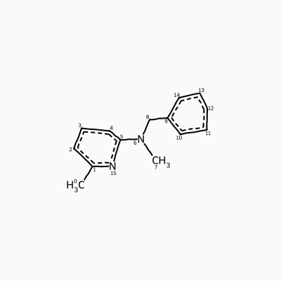 Cc1cccc(N(C)Cc2ccccc2)n1